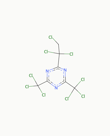 ClCC(Cl)(Cl)c1nc(C(Cl)(Cl)Cl)nc(C(Cl)(Cl)Cl)n1